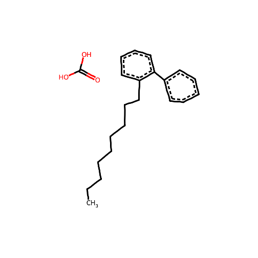 CCCCCCCCCc1ccccc1-c1ccccc1.O=C(O)O